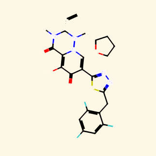 C=C[C@H]1N(CC)C(=O)c2c(O)c(=O)c(-c3nnc(Cc4c(F)cc(F)cc4F)s3)cn2N1C[C@@H]1CCCO1